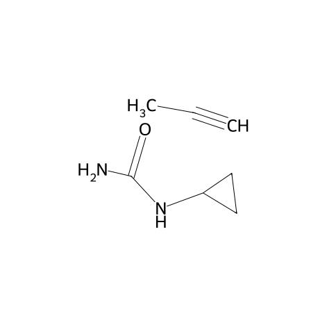 C#CC.NC(=O)NC1CC1